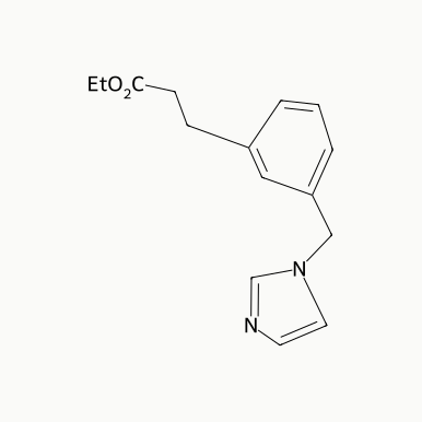 CCOC(=O)CCc1cccc(Cn2ccnc2)c1